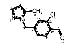 Cc1ccnn1Cc1ccc(C=O)c(Cl)c1